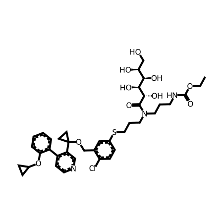 CCOC(=O)NCCCN(CCCSc1ccc(Cl)c(COC2(c3cnccc3-c3ccccc3OC3CC3)CC2)c1)C(=O)[C@@H](O)[C@@H](O)[C@H](O)[C@@H](O)CO